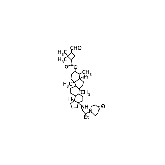 CCC(CNC12CCC[C@@H]1C1CCC3C(C)(CCC4(C(C)C)C(C)C(OC(=O)C5CC(C=O)C5(C)C)CCC34C)C1CC2)N1CC[S+]([O-])CC1